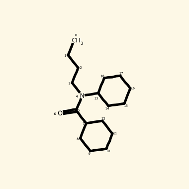 CCCCN(C(=O)C1CCCCC1)C1CCCCC1